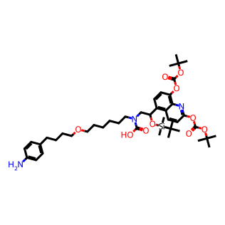 CC(C)(C)OC(=O)Oc1ccc2c(C(CN(CCCCCCOCCCCc3ccc(N)cc3)C(=O)O)O[Si](C)(C)C(C)(C)C)ccc(OC(=O)OC(C)(C)C)c2n1